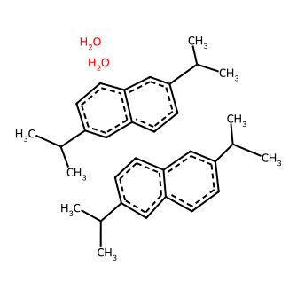 CC(C)c1ccc2cc(C(C)C)ccc2c1.CC(C)c1ccc2cc(C(C)C)ccc2c1.O.O